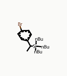 CCCC[Si](CCCC)(CCCC)C(C)c1ccc(Br)cc1